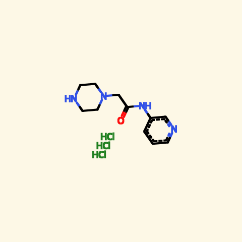 Cl.Cl.Cl.O=C(CN1CCNCC1)Nc1cccnc1